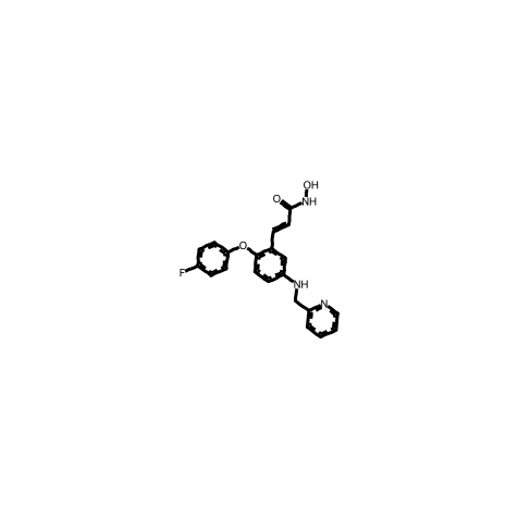 O=C(C=Cc1cc(NCc2ccccn2)ccc1Oc1ccc(F)cc1)NO